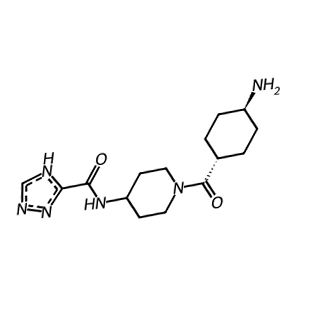 N[C@H]1CC[C@H](C(=O)N2CCC(NC(=O)c3nnc[nH]3)CC2)CC1